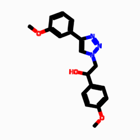 COc1ccc(C(O)Cn2cc(-c3cccc(OC)c3)nn2)cc1